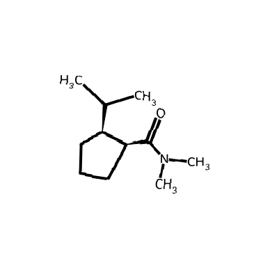 CC(C)[C@@H]1CCC[C@@H]1C(=O)N(C)C